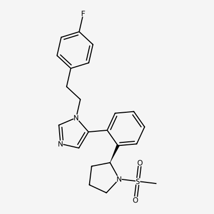 CS(=O)(=O)N1CCC[C@H]1c1ccccc1-c1cncn1CCc1ccc(F)cc1